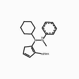 CCCCCCC1=C(N(C2CCCCC2)[SiH](C)c2ccccc2)CC=C1